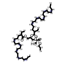 CC/C=C\C/C=C\C/C=C\C/C=C\C/C=C\CCC(CC)C(=O)OCC(COP(=O)(O)OCCC)OC(=O)C(CC)CC/C=C\C/C=C\C/C=C\C/C=C\C/C=C\CC